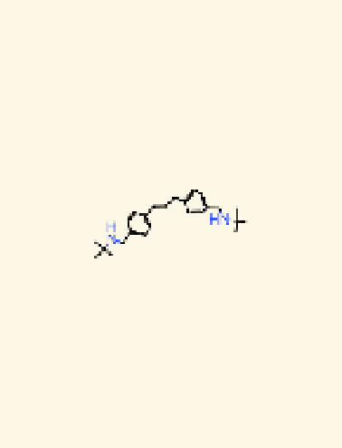 CC(C)(C)NCc1ccc(CCCc2ccc(CNC(C)(C)C)cc2)cc1